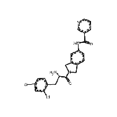 N[C@H](Cc1ccc(Cl)cc1Cl)C(=O)N1Cc2ccc(NC(=O)c3cccnc3)cc2C1